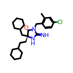 Cc1cc(Cl)ccc1CN1C(=N)N[C@](CCC2CCCCC2)(CC2CCCCC2)C1=O